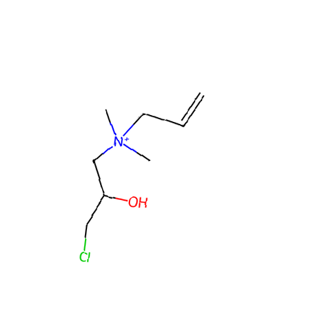 C=CC[N+](C)(C)CC(O)CCl